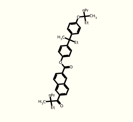 CCCC(C)(CC)Oc1ccc(C(C)(CC)c2ccc(OC(=O)c3ccc4cc(C(=O)C(C)(CC)CCC)ccc4c3)cc2)cc1